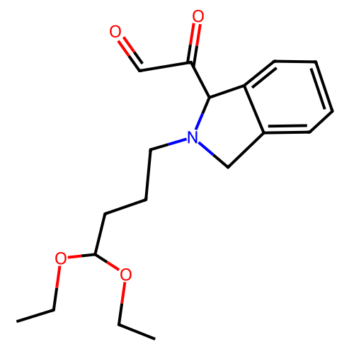 CCOC(CCCN1Cc2ccccc2C1C(=O)C=O)OCC